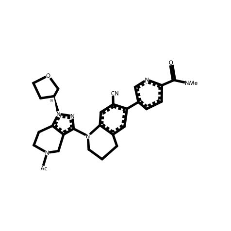 CNC(=O)c1ccc(-c2cc3c(cc2C#N)N(c2nn([C@H]4CCOC4)c4c2CN(C(C)=O)CC4)CCC3)cn1